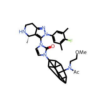 COCCN(C(C)=O)C12C3C4C35C1C13C2C1C4(n1ccn(-c2c4c(nn2-c2cc(C)c(F)c(C)c2)CCN[C@H]4C)c1=O)C53